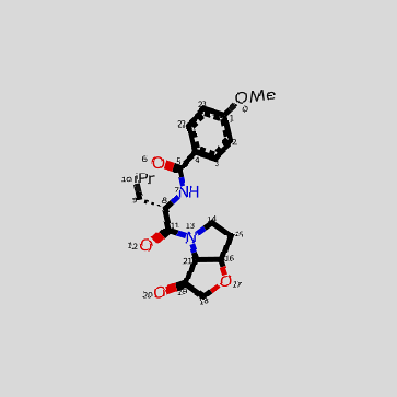 COc1ccc(C(=O)N[C@@H](CC(C)C)C(=O)N2CCC3OCC(=O)C32)cc1